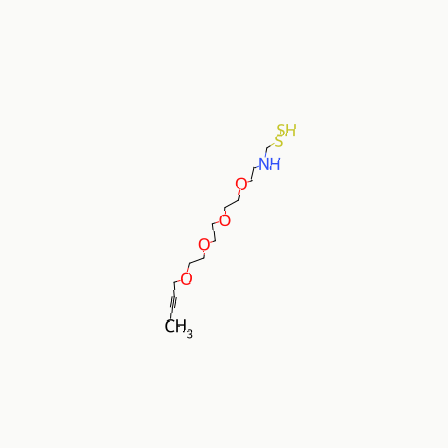 CC#CCOCCOCCOCCOCCNCSS